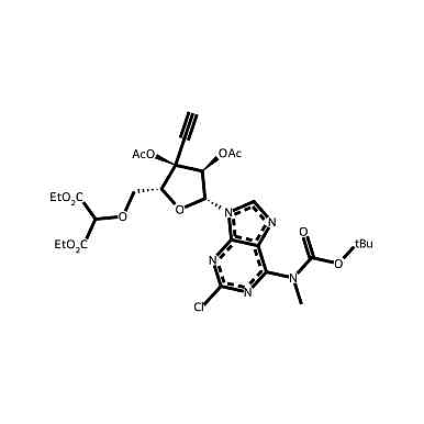 C#C[C@@]1(OC(C)=O)[C@@H](COC(C(=O)OCC)C(=O)OCC)O[C@@H](n2cnc3c(N(C)C(=O)OC(C)(C)C)nc(Cl)nc32)[C@@H]1OC(C)=O